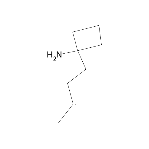 C[CH]CCC1(N)CCC1